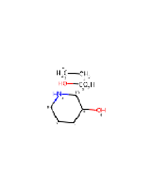 CC.O=C(O)O.OC1CCCNC1